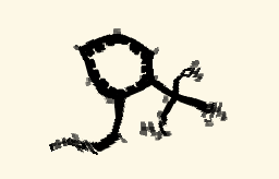 CCCCCCCCc1ccccc1C(C)(C)P